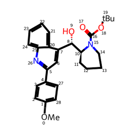 COc1ccc(-c2cc([C@H](O)[C@@H]3CCCCN3C(=O)OC(C)(C)C)c3ccccc3n2)cc1